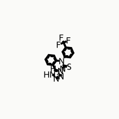 NC(=S)N(c1cccc(C(F)(F)F)c1)c1ccccc1-c1nnn[nH]1